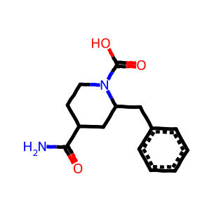 NC(=O)C1CCN(C(=O)O)C(Cc2ccccc2)C1